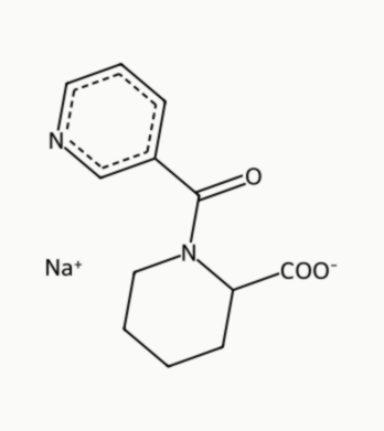 O=C([O-])C1CCCCN1C(=O)c1cccnc1.[Na+]